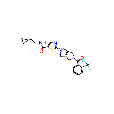 O=C(NCCC1CC1)c1cnc(N2CC3=C(CN(C(=O)c4ccccc4C(F)(F)F)C3)C2)s1